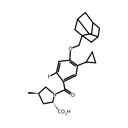 C[C@@H]1C[C@@H](C(=O)O)N(C(=O)c2cc(C3CC3)c(OCC34CC5CC(CC(C5)C3)C4)cc2F)C1